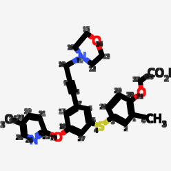 Cc1cc(Sc2cc(C#CCN3CCOCC3)cc(Oc3ccc(C(F)(F)F)cn3)c2)ccc1OCC(=O)O